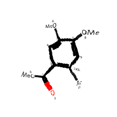 COC(=O)c1cc(OC)c(OC)cc1C(C)=O